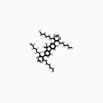 CCCCCCc1ncnc(CCCCCC)c1-c1ccc2c(c1)C(C)(C)c1cc(-c3c(CCCCCC)ncnc3CCCCCC)ccc1-2